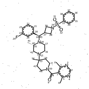 Cc1ncnc(C)c1C(=O)N1CCC(C)(N2CCN([C@@H](c3cccc(F)c3)C3CN(S(=O)(=O)c4ccccc4)C3)[C@@H](C)C2)CC1